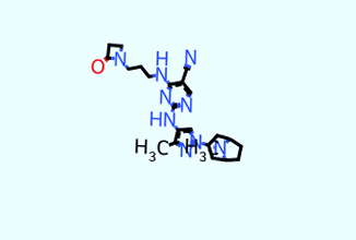 Cc1nn(C2CC3CCC(C2)N3C)cc1Nc1ncc(C#N)c(NCCCN2CCC2=O)n1